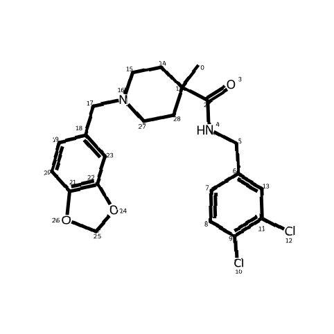 CC1(C(=O)NCc2ccc(Cl)c(Cl)c2)CCN(Cc2ccc3c(c2)OCO3)CC1